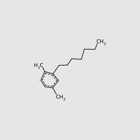 CCCCCCCc1cc(C)c[c]c1C